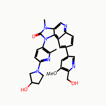 COc1cc(-c2ccc3ncc4c(c3c2)n(-c2ccc(N3CCC(O)C3)nc2C)c(=O)n4C)cnc1CO